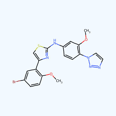 COc1ccc(Br)cc1-c1csc(Nc2ccc(-n3ccnn3)c(OC)c2)n1